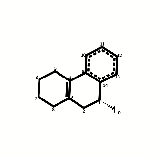 I[C@@H]1CC2=C(CCCC2)c2ccccc21